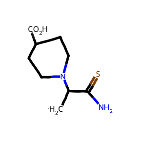 [CH2]C(C(N)=S)N1CCC(C(=O)O)CC1